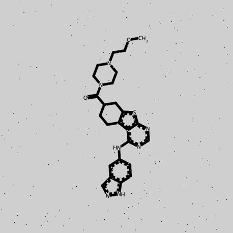 COCCN1CCN(C(=O)C2CCc3c(sc4ncnc(Nc5ccc6[nH]ncc6c5)c34)C2)CC1